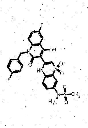 CN(c1ccc2c(c1)S(=O)(=O)C=C(c1c(O)c3cc(F)ccc3n(Cc3ccc(F)cc3)c1=O)N2)S(C)(=O)=O